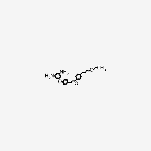 CCCCCCCCc1ccc(C(=O)/C=C/c2ccc(Oc3cc(N)cc(N)c3)cc2)cc1